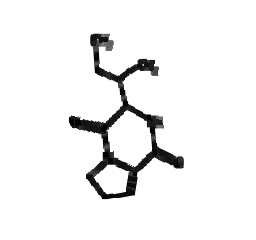 CCC(C)C1NC(=O)C2=CCCN2C1=O